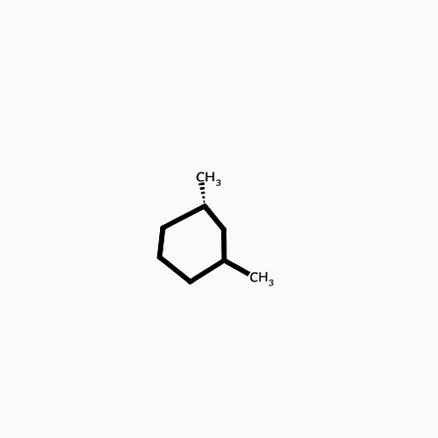 CC1CCC[C@H](C)C1